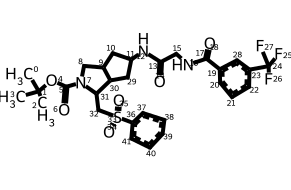 CC(C)(C)OC(=O)N1CC2CC(NC(=O)CNC(=O)c3cccc(C(F)(F)F)c3)CC2C1CS(=O)(=O)c1ccccc1